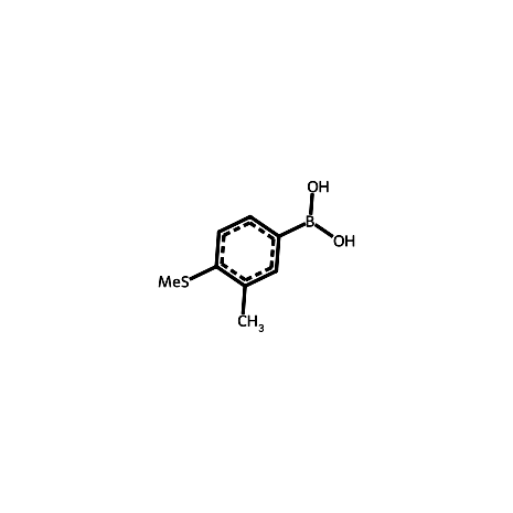 CSc1ccc(B(O)O)cc1C